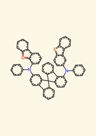 c1ccc(N(c2ccc3sc4ccccc4c3c2)c2cccc3c2-c2ccccc2C32c3ccccc3-c3ccc(N(c4ccccc4)c4cccc5c4oc4ccccc45)cc32)cc1